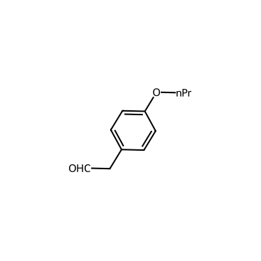 CCCOc1ccc(CC=O)cc1